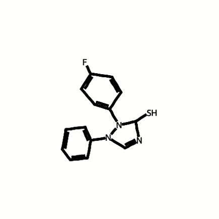 Fc1ccc(N2C(S)N=CN2c2ccccc2)cc1